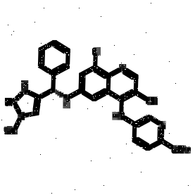 COc1ccc(Nc2c(C#N)cnc3c(Cl)cc(N[C@H](C4=CN(C(C)(C)C)NN4)c4ccccc4)cc23)cn1